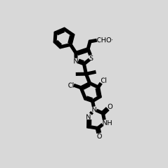 CC(C)(c1nc(-c2ccccc2)c(C[C]=O)s1)c1c(Cl)cc(-n2ncc(=O)[nH]c2=O)cc1Cl